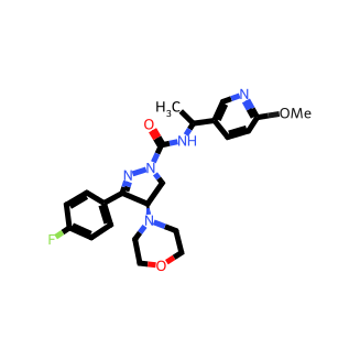 COc1ccc(C(C)NC(=O)N2C[C@@H](N3CCOCC3)C(c3ccc(F)cc3)=N2)cn1